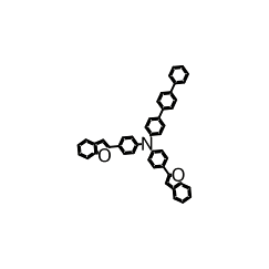 c1ccc(-c2ccc(-c3ccc(N(c4ccc(-c5cc6ccccc6o5)cc4)c4ccc(-c5cc6ccccc6o5)cc4)cc3)cc2)cc1